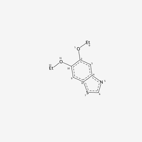 CCOc1cc2ncsc2cc1OCC